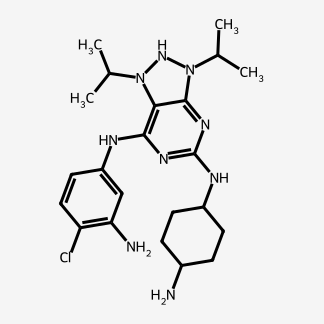 CC(C)N1NN(C(C)C)c2c(Nc3ccc(Cl)c(N)c3)nc(NC3CCC(N)CC3)nc21